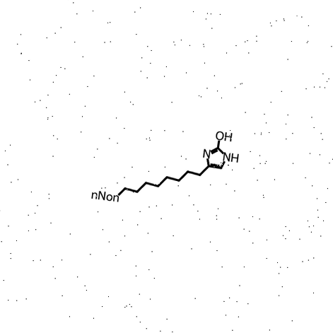 CCCCCCCCCCCCCCCCCc1c[nH]c(O)n1